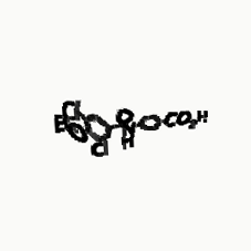 CCOc1c(Cl)cc(C(=O)Nc2ccc(C(=O)O)cc2)cc1Cl